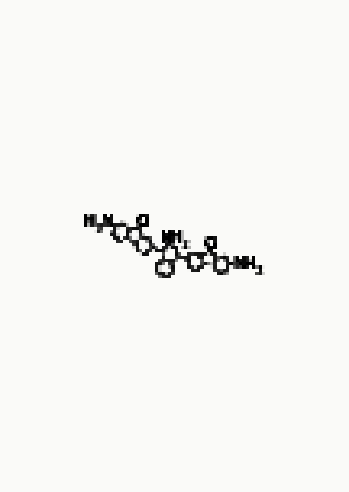 Nc1ccc2c(c1)C(=O)c1cc(-c3cc(N)c(-c4ccc5c(c4)C(=O)c4cc(N)ccc4-5)c4ccccc34)ccc1-2